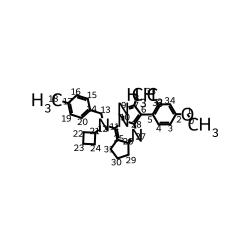 COc1ccc(-c2c(C)nn3c(N(Cc4ccc(C)cc4)C4CCC4)c4c(nc23)CCC4)c(C)c1